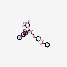 CN(CCOC1CCN(OC(=O)c2ccccc2)CC1)C(=O)c1ccc(N2CC3CC(C2)N3c2ccc3c(c2)CN(C2CCC(=O)NC2=O)C3=O)cc1